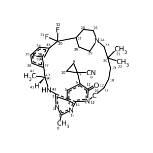 Cc1nc2c3cc(C4(C#N)CC4)c(=O)n(c3n1)CCCCC(C)(C)CN1CCC(CC1)C(F)(F)c1cccc(c1F)[C@@H](C)N2